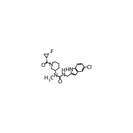 CN(C(=O)NCc1cc2cc(Cl)ccc2[nH]1)[C@@H]1CCCN(C(=O)[C@H]2C[C@@H]2F)C1